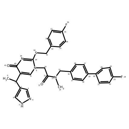 CC(c1cn[nH]c1)c1cn(CC(=O)N(C)Cc2ccc(-c3ccc(F)cc3)cc2)c(SCc2ccc(F)cc2)nc1=O